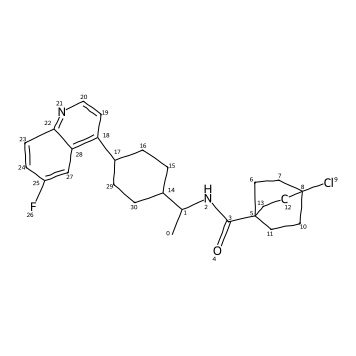 CC(NC(=O)C12CCC(Cl)(CC1)CC2)C1CCC(c2ccnc3ccc(F)cc23)CC1